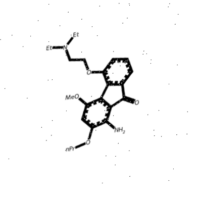 CCCOc1cc(OC)c2c(c1N)C(=O)c1cccc(OCCN(CC)CC)c1-2